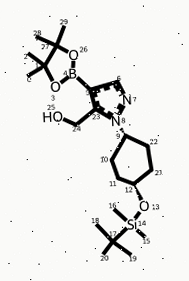 CC1(C)OB(c2cnn([C@H]3CC[C@H](O[Si](C)(C)C(C)(C)C)CC3)c2CO)OC1(C)C